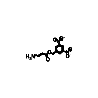 NCC=CC(=O)OCc1cc([N+](=O)[O-])cc([N+](=O)[O-])c1